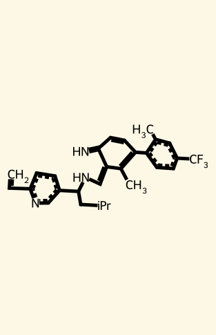 C=Cc1ccc(C(CC(C)C)N/C=C2\C(=N)C=CC(c3ccc(C(F)(F)F)cc3C)=C2C)cn1